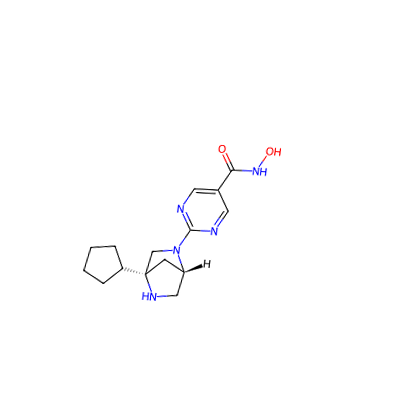 O=C(NO)c1cnc(N2C[C@@]3(C4CCCC4)C[C@H]2CN3)nc1